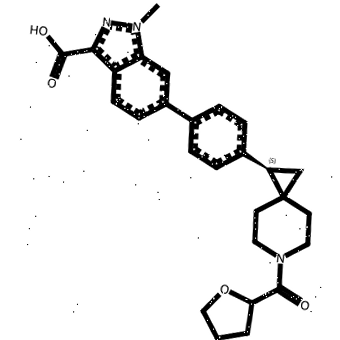 Cn1nc(C(=O)O)c2ccc(-c3ccc([C@H]4CC45CCN(C(=O)C4CCCO4)CC5)cc3)cc21